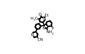 CCn1cc(C2(c3cccc(-c4cncc(C#N)c4)c3)N=C(N)c3c(F)cccc32)cc(C)c1=O